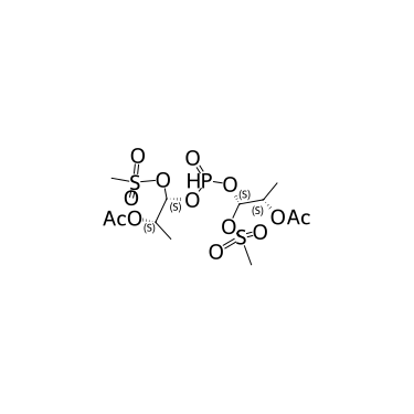 CC(=O)O[C@@H](C)[C@@H](O[PH](=O)O[C@@H](OS(C)(=O)=O)[C@H](C)OC(C)=O)OS(C)(=O)=O